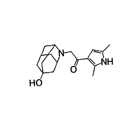 Cc1cc(C(=O)CN2C3CC4CC2CC(O)(C4)C3)c(C)[nH]1